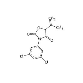 C=C(C)C1OC(=O)N(c2cc(Cl)cc(Cl)c2)C1=O